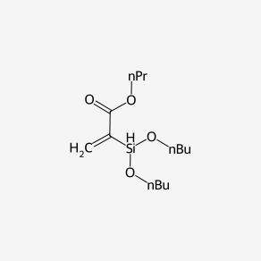 C=C(C(=O)OCCC)[SiH](OCCCC)OCCCC